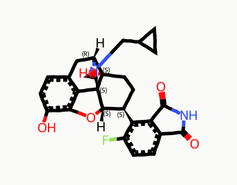 O=C1NC(=O)c2c1ccc(F)c2[C@@H]1CC[C@@]2(O)[C@H]3Cc4ccc(O)c5c4[C@@]2(CCN3CC2CC2)[C@H]1O5